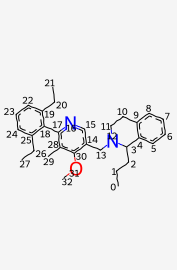 CCCC1c2ccccc2CCN1Cc1cnc(-c2c(CC)cccc2CC)c(C)c1OC